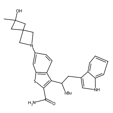 CCCCC(Cc1c[nH]c2ccccc12)c1c(C(N)=O)sc2cc(N3CC4(C3)CC(C)(O)C4)ccc12